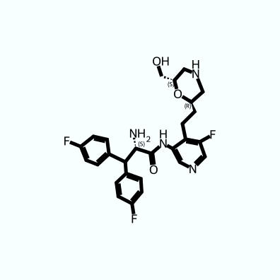 N[C@H](C(=O)Nc1cncc(F)c1CC[C@@H]1CNC[C@@H](CO)O1)C(c1ccc(F)cc1)c1ccc(F)cc1